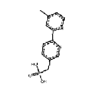 Cc1ccnc(-c2ccc(CP(=O)(O)O)cn2)c1